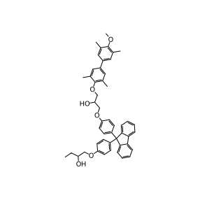 CCC(O)COc1ccc(C2(c3ccc(OCC(O)COc4c(C)cc(-c5cc(C)c(OC)c(C)c5)cc4C)cc3)c3ccccc3-c3ccccc32)cc1